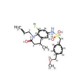 C=CCN1C(=O)CC(C)c2cc(NS(=O)(=O)Cc3ccc(COC)cc3)cc(F)c21